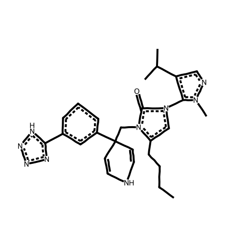 CCCCc1cn(-c2c(C(C)C)cnn2C)c(=O)n1CC1(c2cccc(-c3nnn[nH]3)c2)C=CNC=C1